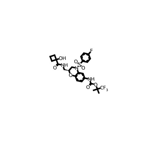 CC(C)(OC(=O)Nc1ccc2c(c1)N(S(=O)(=O)c1ccc(F)cc1)C[C@H](CNC(=O)C1(O)CCC1)O2)C(F)(F)F